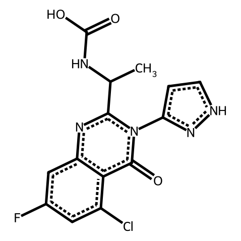 CC(NC(=O)O)c1nc2cc(F)cc(Cl)c2c(=O)n1-c1cc[nH]n1